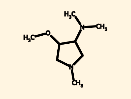 COC1CN(C)CC1N(C)C